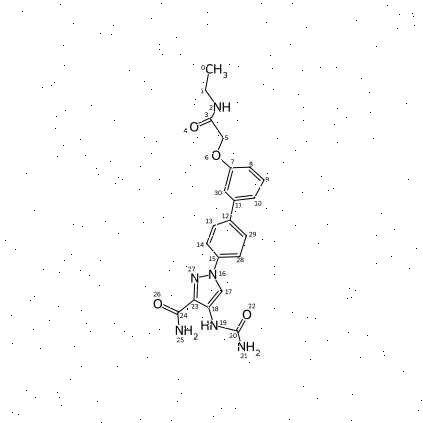 CCNC(=O)COc1cccc(-c2ccc(-n3cc(NC(N)=O)c(C(N)=O)n3)cc2)c1